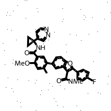 CNC(=O)c1c(-c2ccc(F)cc2)oc2ccc(-c3cc(C(=O)NC4(c5ccnnc5)CC4)c(OC)cc3C)cc12